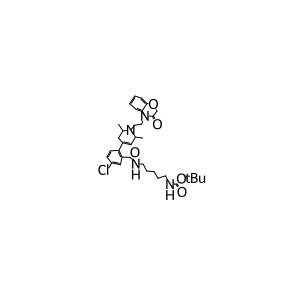 CC1C=C(c2ccc(Cl)cc2C(=O)NCCCCCNC(=O)OC(C)(C)C)CC(C)N1CCN1C(=O)COc2ccccc21